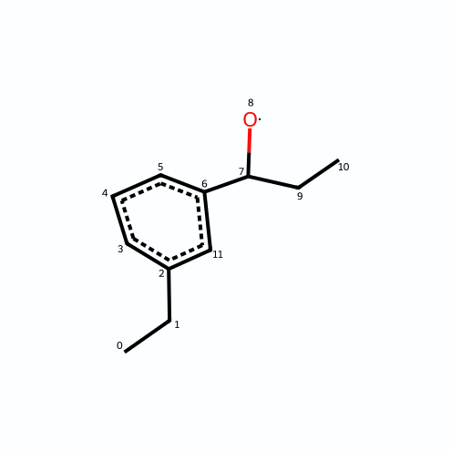 CCc1cccc(C([O])CC)c1